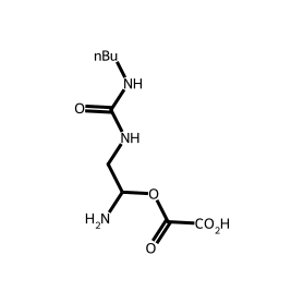 CCCCNC(=O)NCC(N)OC(=O)C(=O)O